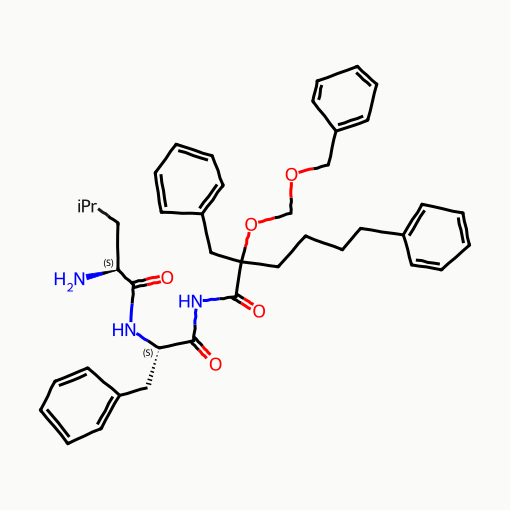 CC(C)C[C@H](N)C(=O)N[C@@H](Cc1ccccc1)C(=O)NC(=O)C(CCCCc1ccccc1)(Cc1ccccc1)OCOCc1ccccc1